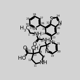 CCNC(=O)NC1(CC2CNCCC2(C)C(=O)O)N=CC=CN1c1cc(-c2ccccn2)c2scnc2c1